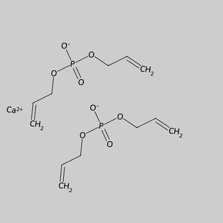 C=CCOP(=O)([O-])OCC=C.C=CCOP(=O)([O-])OCC=C.[Ca+2]